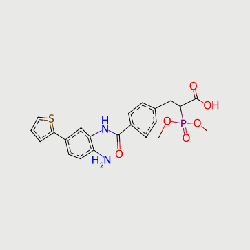 COP(=O)(OC)C(Cc1ccc(C(=O)Nc2cc(-c3cccs3)ccc2N)cc1)C(=O)O